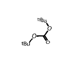 CCCCOC(=O)OC(C)(C)C